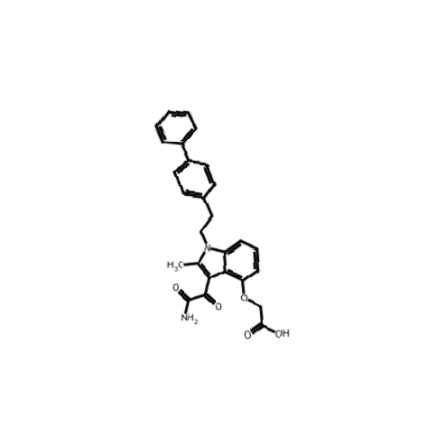 Cc1c(C(=O)C(N)=O)c2c(OCC(=O)O)cccc2n1CCc1ccc(-c2ccccc2)cc1